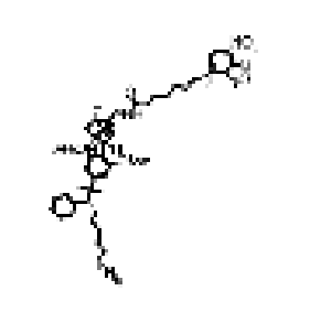 COc1cc(C(C)(C)[C@H](CCCCCN=[N+]=[N-])c2ccccc2)cc(OC)c1[C@H]1C=C(CNC(=O)CCCCCCOc2ccc([N+](=O)[O-])c3nonc23)[C@H]2C[C@@H]1C2(C)C